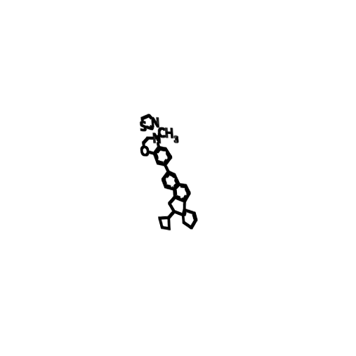 C1=NCCS1.CN1CCOc2cc(-c3ccc4c5c(ccc4c3)C3=C(CCC=C3)C(C3CCC3)C5)ccc21